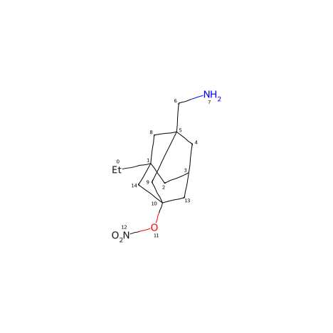 CCC12CC3CC(CN)(C1)CC(O[N+](=O)[O-])(C3)C2